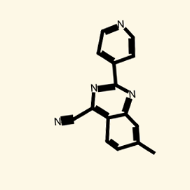 Cc1ccc2c(C#N)nc(-c3ccncc3)nc2c1